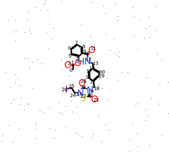 CC(=O)Oc1ccccc1C(=O)NCc1ccc(Cn2c(=O)sn(CCI)c2=O)cc1